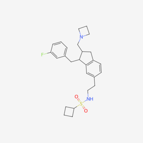 O=S(=O)(NCCc1ccc2c(c1)C(Cc1cccc(F)c1)C(CN1CCC1)C2)C1CCC1